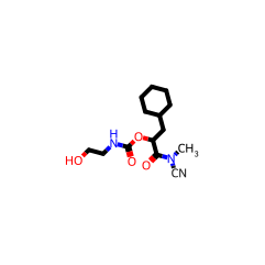 CN(C#N)C(=O)C(CC1CCCCC1)OC(=O)NCCO